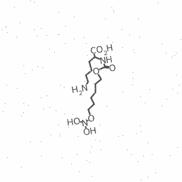 NCCCCC(NC(=O)OCCCCCCON(O)O)C(=O)O